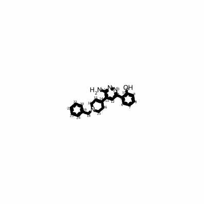 Nc1nnc(-c2ccccc2O)cc1C1=CCN(Cc2ccccc2)CC1